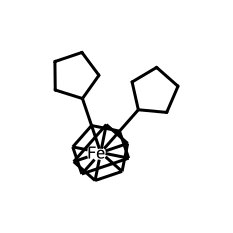 C1CCC([C]23[CH]4[CH]5[CH]6[C]2(C2CCCC2)[Fe]54632789[CH]3[CH]2[CH]7[CH]8[CH]39)C1